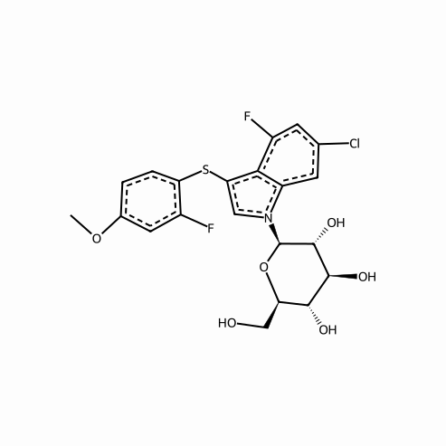 COc1ccc(Sc2cn([C@@H]3O[C@H](CO)[C@@H](O)[C@H](O)[C@H]3O)c3cc(Cl)cc(F)c23)c(F)c1